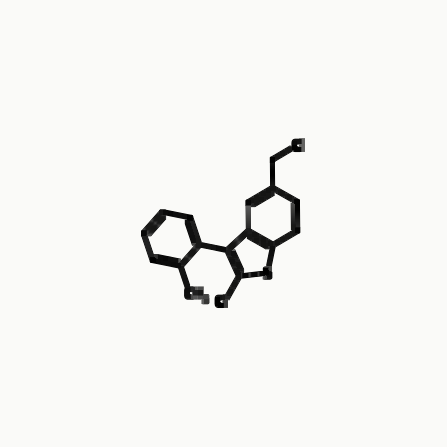 Cc1ccccc1-c1c(Cl)sc2ccc(CCl)cc12